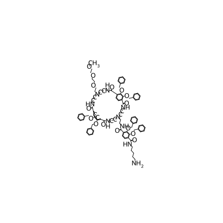 COCCOCCOCCN1CCNC(=O)c2ccc(c(OCc3ccccc3)c2OCc2ccccc2)C(=O)NCCN(CCNC(=O)c2ccc(C(=O)NCCCCCN)c(OCc3ccccc3)c2OCc2ccccc2)CCNC(=O)c2ccc(c(OCc3ccccc3)c2OCc2ccccc2)C(=O)NCC1